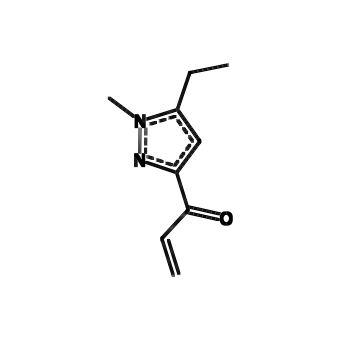 C=CC(=O)c1cc(CC)n(C)n1